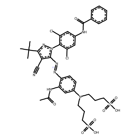 CC(=O)Nc1cc(N(CCCS(=O)(=O)O)CCCS(=O)(=O)O)ccc1/N=N/c1c(C#N)c(C(C)(C)C)nn1-c1c(Cl)cc(NC(=O)c2ccccc2)cc1Cl